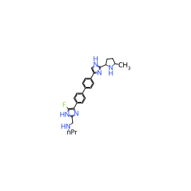 CCCNCc1nc(-c2ccc(-c3ccc(-c4c[nH]c(C5CCC(C)N5)n4)cc3)cc2)c(F)[nH]1